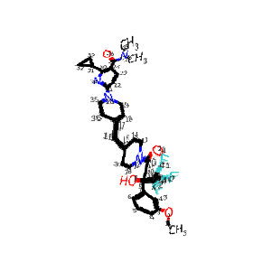 CCOc1cccc(C(O)(C(=O)N2CCC(CC3CCN(c4ccc(C(=O)N(C)C)c(C5CC5)n4)CC3)CC2)C(F)(F)F)c1